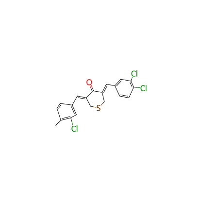 Cc1ccc(/C=C2\CSC/C(=C\c3ccc(Cl)c(Cl)c3)C2=O)cc1Cl